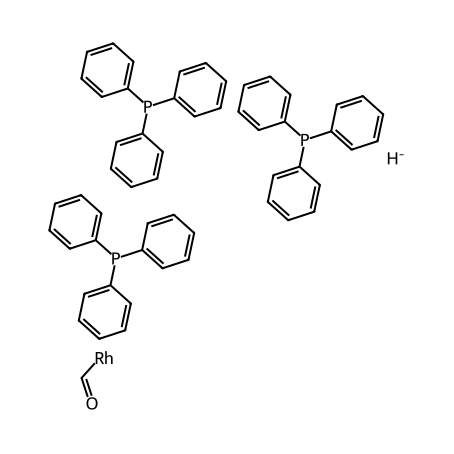 O=[CH][Rh].[H-].c1ccc(P(c2ccccc2)c2ccccc2)cc1.c1ccc(P(c2ccccc2)c2ccccc2)cc1.c1ccc(P(c2ccccc2)c2ccccc2)cc1